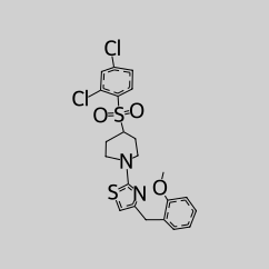 COc1ccccc1Cc1csc(N2CCC(S(=O)(=O)c3ccc(Cl)cc3Cl)CC2)n1